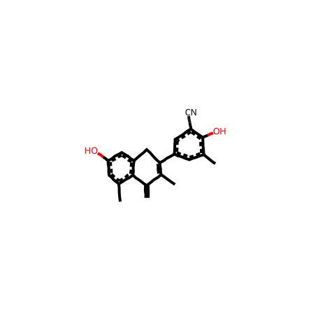 C=C1C(C)=C(c2cc(C)c(O)c(C#N)c2)Cc2cc(O)cc(C)c21